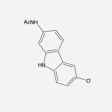 CC(=O)Nc1ccc2c(c1)[nH]c1ccc(Cl)cc12